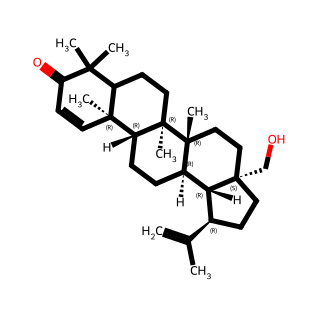 C=C(C)[C@@H]1CC[C@]2(CO)CC[C@]3(C)[C@H](CC[C@@H]4[C@@]5(C)C=CC(=O)C(C)(C)C5CC[C@]43C)[C@@H]12